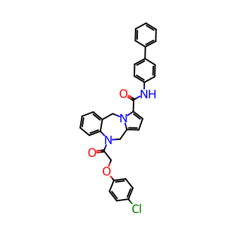 O=C(Nc1ccc(-c2ccccc2)cc1)c1ccc2n1Cc1ccccc1N(C(=O)COc1ccc(Cl)cc1)C2